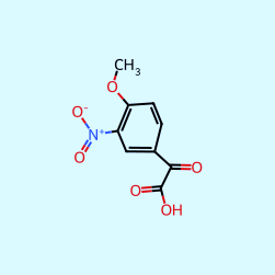 COc1ccc(C(=O)C(=O)O)cc1[N+](=O)[O-]